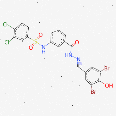 O=C(N/N=C/c1cc(Br)c(O)c(Br)c1)c1cccc(NS(=O)(=O)c2ccc(Cl)c(Cl)c2)c1